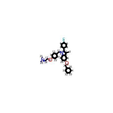 Cc1c(-c2ccc(F)cc2)n(Cc2ccc(OCCN(C)C)cc2)c2ccc(OCc3ccccc3)cc12